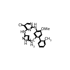 COc1cc(-c2ccccc2C)c(C)cc1Nc1ncc(Cl)c(Nc2cc(C)[nH]n2)n1